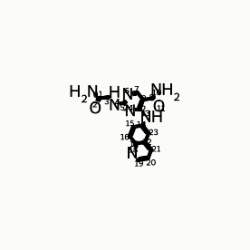 NC(=O)CNc1ncc(C(N)=O)c(Nc2ccc3ncccc3c2)n1